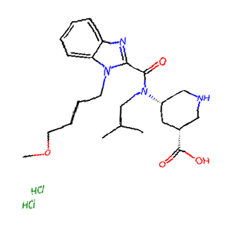 COCCCCn1c(C(=O)N(CC(C)C)[C@@H]2CNC[C@H](C(=O)O)C2)nc2ccccc21.Cl.Cl